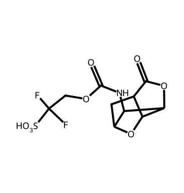 O=C(NC1C2CC3C(=O)OC1C3O2)OCC(F)(F)S(=O)(=O)O